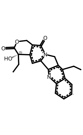 CCc1c2c(nc3cc[c]cc13)-c1cc3c(c(=O)n1C2)COC(=O)[C@]3(O)CC